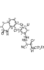 CCOC(=O)NC(=O)C(C#N)NNc1cc(Cl)c(Oc2ccc3c(c2)NC(=O)CC3)c(Cl)c1